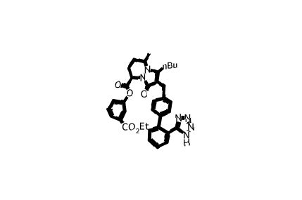 CCCCc1c(Cc2ccc(-c3ccccc3-c3nnn[nH]3)cc2)c(=O)n2n1C(C)CCC2C(=O)Oc1cccc(C(=O)OCC)c1